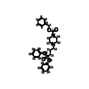 O=C(OCc1ccccc1)N1CCN(CCCP(=O)(Oc2ccccc2)Oc2ccccc2)CC1